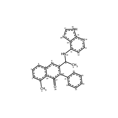 Cc1cccc2nc(C(C)Nc3ncnc4[nH]cnc34)n(-c3ccccc3)c(=O)c12